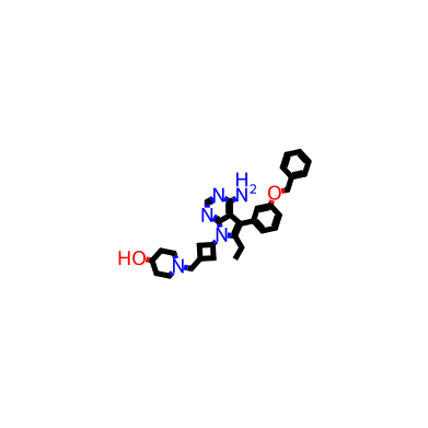 CCc1c(-c2cccc(OCc3ccccc3)c2)c2c(N)ncnc2n1C1CC(CN2CCC(O)CC2)C1